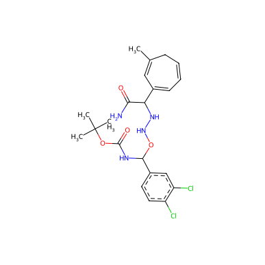 CC1=CC(C(NNOC(NC(=O)OC(C)(C)C)c2ccc(Cl)c(Cl)c2)C(N)=O)=CC=CC1